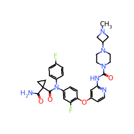 CN1CC(N2CCN(C(=O)Nc3cc(Oc4ccc(N(C(=O)C5(C(N)=O)CC5)c5ccc(F)cc5)cc4F)ccn3)CC2)C1